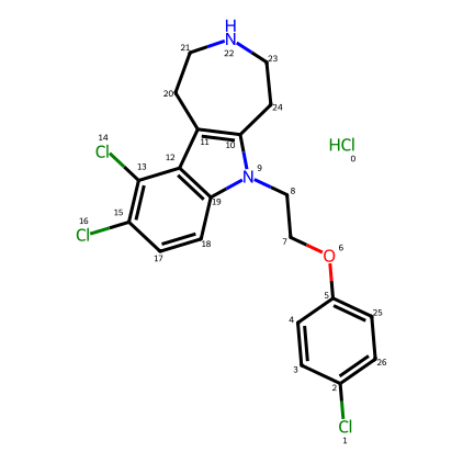 Cl.Clc1ccc(OCCn2c3c(c4c(Cl)c(Cl)ccc42)CCNCC3)cc1